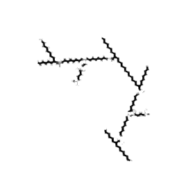 CCCCCCCCC(CCCCCC)C(=O)OCCCCCCCCN(CCCCCCCCOC(=O)C(CCCCCCCC)CCCCCCCCCCCCC(CCCCCCCC)C(=O)OCCCCCCCCN(CCCCCCCCOC(O)C(CCCCCC)CCCCCCCC)CCOC(=O)CCCN(C)C)OC(=O)CCCN(C)C